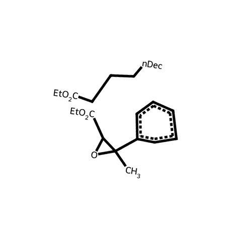 CCCCCCCCCCCCCC(=O)OCC.CCOC(=O)C1OC1(C)c1ccccc1